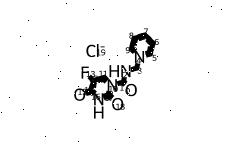 O=C(NC[n+]1ccccc1)n1cc(F)c(=O)[nH]c1=O.[Cl-]